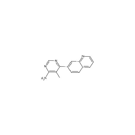 Cc1c(N)ncnc1-c1ccc2cccnc2c1